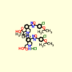 CC(C)Oc1ccc(-c2nc(-c3cccc4c3CCNC4C(C(=O)O)C(C)(C)C)no2)cc1Cl.CC(C)Oc1ccc(-c2nc(-c3cccc4c3CCNC4CC(=O)O)no2)cc1Cl.Cl